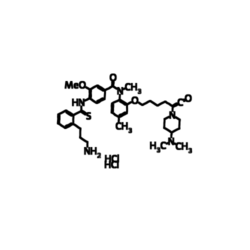 COc1cc(C(=O)N(C)c2ccc(C)cc2OCCCCC(=C=O)N2CCC(N(C)C)CC2)ccc1NC(=S)c1ccccc1CCCN.Cl.Cl